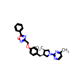 Cc1ccnc(N2C[C@@H](Cc3ccc(OCc4noc(-c5ccccc5)n4)cc3)[C@@H](C(=O)O)C2)n1